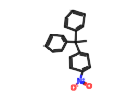 CC(c1cc[c]cc1)(c1cc[c]cc1)c1ccc([N+](=O)[O-])cc1